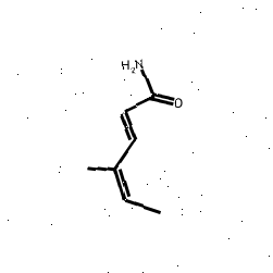 CC=C(C)C=CC(N)=O